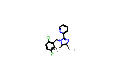 Cc1nc(-c2ccccn2)n(Cc2cc(Cl)ccc2Cl)c1C(=O)O